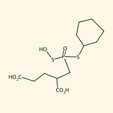 O=C(O)CCC(CP(=O)(SO)SC1CCCCC1)C(=O)O